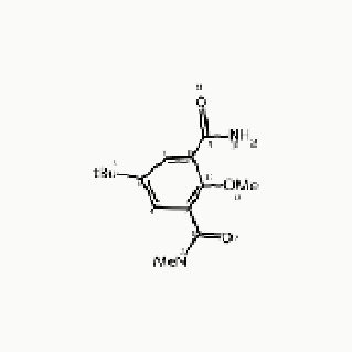 CNC(=O)c1cc(C(C)(C)C)cc(C(N)=O)c1OC